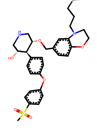 COCCCN1CCOc2ccc(CO[C@H]3CNC[C@@H](O)[C@@H]3c3ccc(Oc4ccc(S(C)(=O)=O)cc4)cc3)cc21